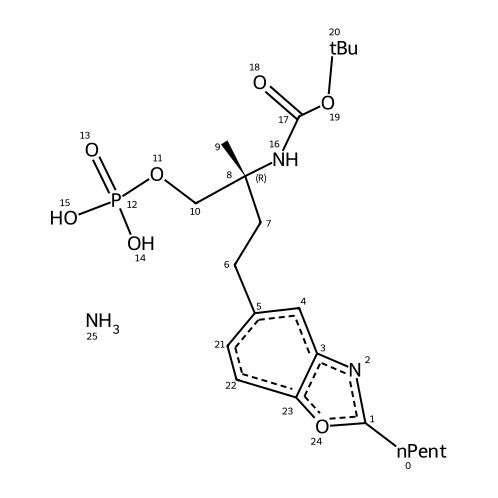 CCCCCc1nc2cc(CC[C@](C)(COP(=O)(O)O)NC(=O)OC(C)(C)C)ccc2o1.N